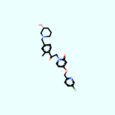 Cc1cc(CN2CCC[C@@H](O)C2)ccc1C(=O)Cn1ccc(OCc2ccc(Cl)cn2)cc1=O